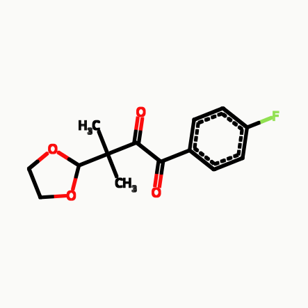 CC(C)(C(=O)C(=O)c1ccc(F)cc1)C1OCCO1